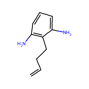 C=CCCc1c(N)cccc1N